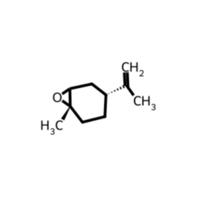 C=C(C)[C@@H]1CC[C@]2(C)OC2C1